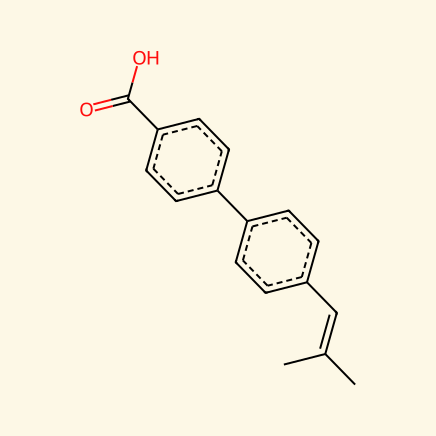 CC(C)=Cc1ccc(-c2ccc(C(=O)O)cc2)cc1